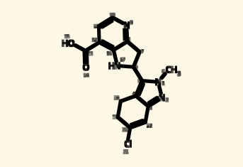 Cn1nc2c(c1C1Cc3nccc(C(=O)O)c3N1)CCC(Cl)=C2